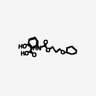 O=C(Nc1cccc(O)c1C(=O)O)OCCCOC1CCCCC1